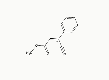 COC(=O)C[C@H](C#N)c1ccccc1